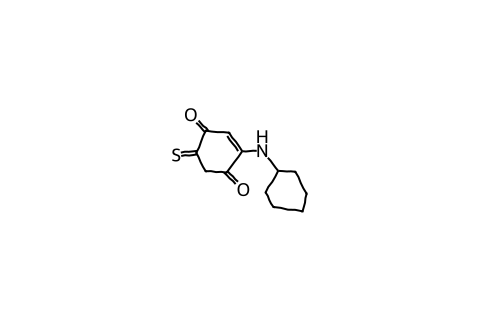 O=C1C=C(NC2CCCCC2)C(=O)CC1=S